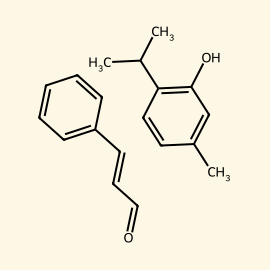 Cc1ccc(C(C)C)c(O)c1.O=CC=Cc1ccccc1